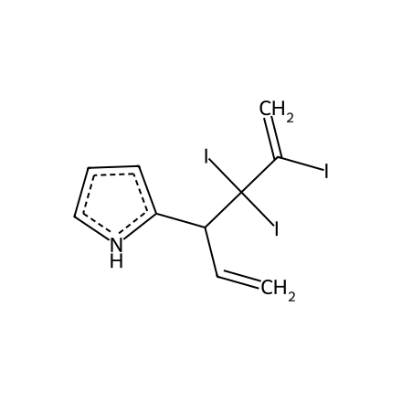 C=CC(c1ccc[nH]1)C(I)(I)C(=C)I